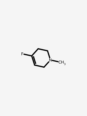 CN1CC=C(F)CC1